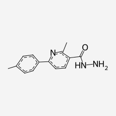 Cc1ccc(-c2ccc(C(=O)NN)c(C)n2)cc1